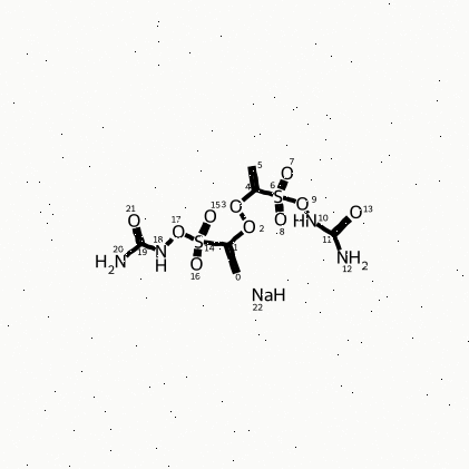 C=C(OOC(=C)S(=O)(=O)ONC(N)=O)S(=O)(=O)ONC(N)=O.[NaH]